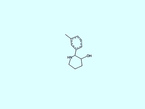 Cc1cccc(C2NCCCC2O)c1